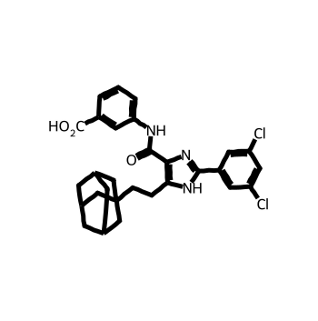 O=C(O)c1cccc(NC(=O)c2nc(-c3cc(Cl)cc(Cl)c3)[nH]c2CCC23CC4CC(CC(C4)C2)C3)c1